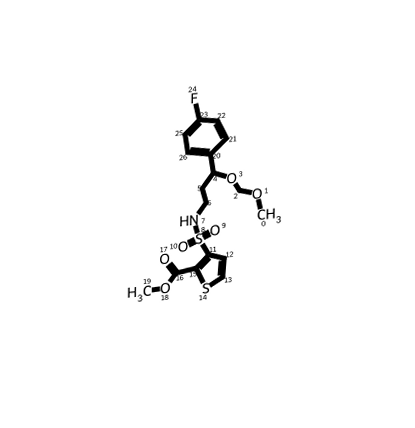 COCOC(CCNS(=O)(=O)c1ccsc1C(=O)OC)c1ccc(F)cc1